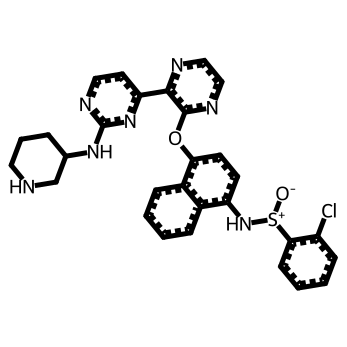 [O-][S+](Nc1ccc(Oc2nccnc2-c2ccnc(NC3CCCNC3)n2)c2ccccc12)c1ccccc1Cl